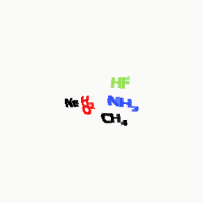 C.F.N.O.[Ne]